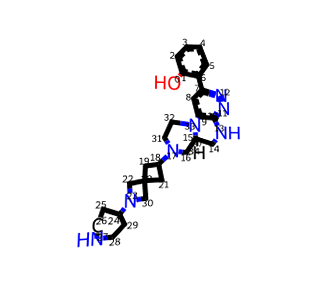 Oc1ccccc1-c1cc2c(nn1)NC[C@H]1CN(C3CC4(C3)CN(C3CCNCC3)C4)CCN21